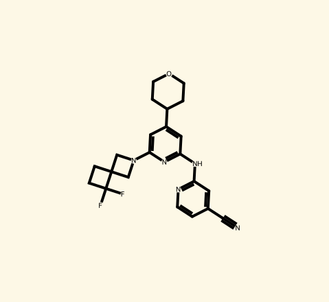 N#Cc1ccnc(Nc2cc(C3CCOCC3)cc(N3CC4(CCC4(F)F)C3)n2)c1